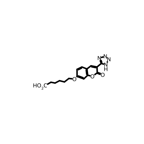 O=C(O)CCCCCOc1ccc2cc(-c3nnn[nH]3)c(=O)oc2c1